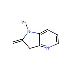 C=C1Cc2ncccc2N1C(C)C